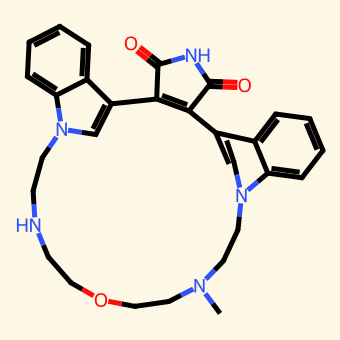 CN1CCOCCNCCn2cc(c3ccccc32)C2=C(C(=O)NC2=O)c2cn(c3ccccc23)CC1